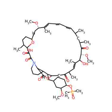 COC1CC(C[C@@H]2C3CC(=O)C(C)/C=C(\C)C(O)[C@@H](OC)C(=O)C(C)CC(C)/C=C/C=C/C=C(\C)[C@@H](OC)C[C@@H]4CCC(C)C(O)(O4)C(=O)C(=O)N4CCCC2C4C(=O)O3)CC[C@H]1OP(C)(C)=O